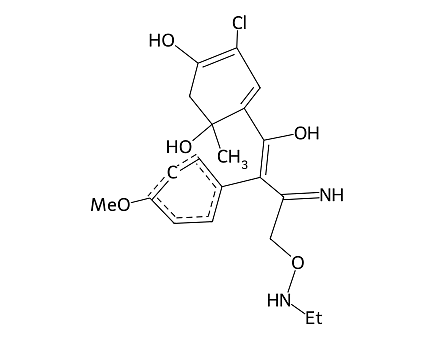 CCNOCC(=N)/C(=C(\O)C1=CC(Cl)=C(O)CC1(C)O)c1ccc(OC)cc1